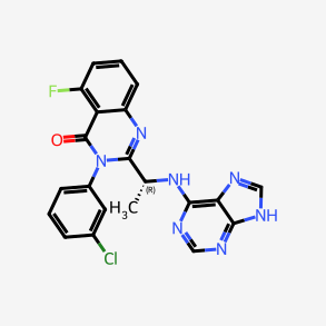 C[C@@H](Nc1ncnc2[nH]cnc12)c1nc2cccc(F)c2c(=O)n1-c1cccc(Cl)c1